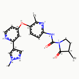 CCc1nc(NC(=O)N2CCC(C(C)C)C2=O)ccc1Oc1ccnc(-c2cnn(C)c2)c1